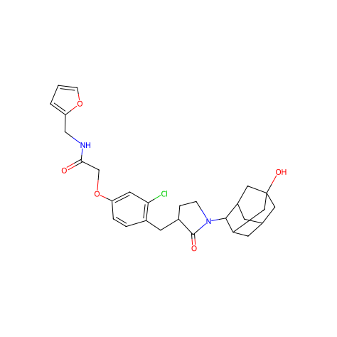 O=C(COc1ccc(CC2CCN(C3C4CC5CC3CC(O)(C5)C4)C2=O)c(Cl)c1)NCc1ccco1